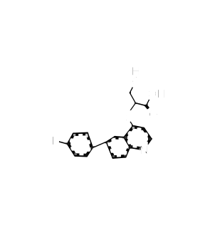 CCC(Sc1ccnc2ccc(-c3ccc(F)cc3)cc12)C(=O)O